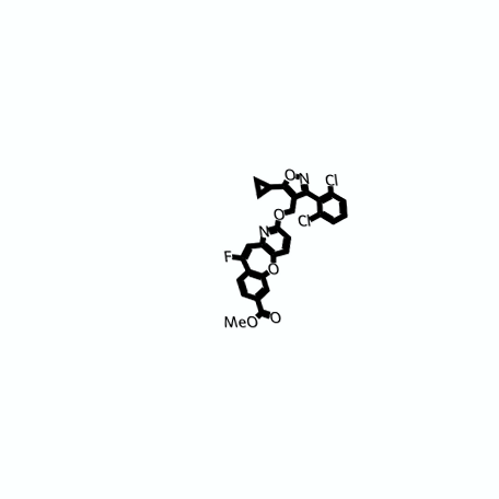 COC(=O)c1ccc2c(c1)Oc1ccc(OCc3c(-c4c(Cl)cccc4Cl)noc3C3CC3)nc1C=C2F